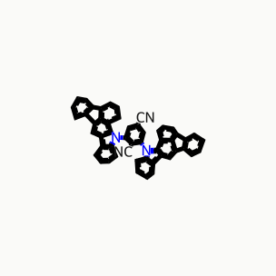 N#Cc1cc(-n2c3ccccc3c3cc4c5c(cccc5c32)-c2ccccc2-4)c(C#N)c(-n2c3ccccc3c3cc4c5c(cccc5c32)-c2ccccc2-4)c1